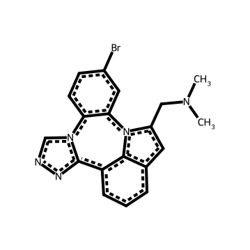 CN(C)Cc1cc2cccc3c4nncn4c4ccc(Br)cc4n1c23